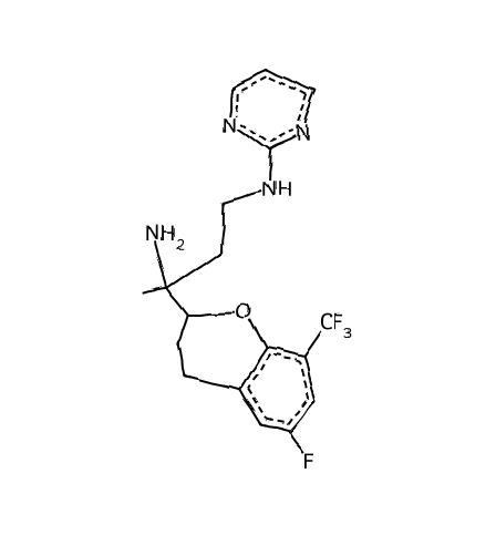 CC(N)(CCNc1ncccn1)C1CCc2cc(F)cc(C(F)(F)F)c2O1